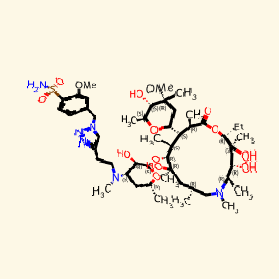 CC[C@H]1OC(=O)[C@H](C)[C@@H](C2C[C@@](C)(OC)[C@@H](O)[C@H](C)O2)[C@H](C)[C@@H](O[C@@H]2O[C@H](C)C[C@H](N(C)CCc3cn(Cc4ccc(S(N)(=O)=O)c(OC)c4)nn3)[C@H]2O)[C@](C)(O)C[C@@H](C)CN(C)[C@H](C)[C@@H](O)[C@]1(C)O